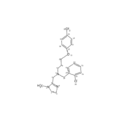 Cn1ccnc1CN(CCCOc1ccc(C(F)(F)F)cc1)Cc1ccccc1Cl